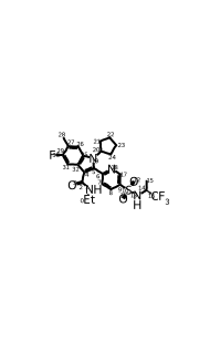 CCNC(=O)c1c(-c2ccc(S(=O)(=O)N[C@@H](C)C(F)(F)F)cn2)n(C2CCCC2)c2cc(C)c(F)cc12